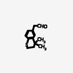 CC1(C)CCSc2ccc(CC=O)cc21